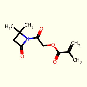 C=C(C)C(=O)OCC(=O)N1C(=O)CC1(C)C